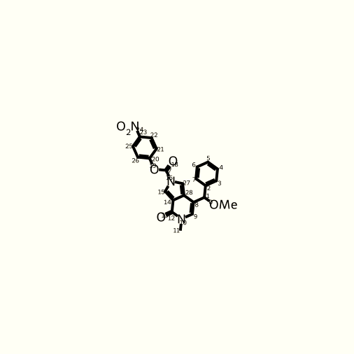 COC(c1ccccc1)c1cn(C)c(=O)c2cn(C(=O)Oc3ccc([N+](=O)[O-])cc3)cc12